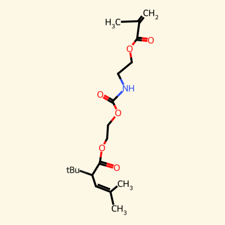 C=C(C)C(=O)OCCNC(=O)OCCOC(=O)C(C=C(C)C)C(C)(C)C